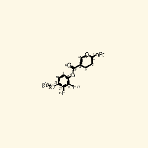 CCCC1CCC(C(=O)Oc2ccc(OCC)c(F)c2F)=CO1